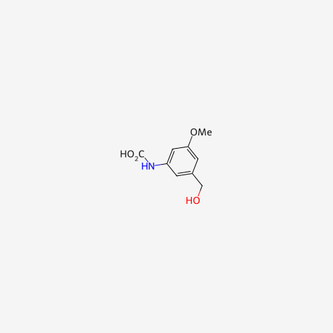 COc1cc(CO)cc(NC(=O)O)c1